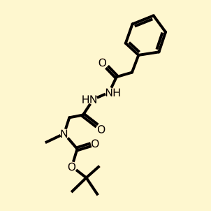 CN(CC(=O)NNC(=O)Cc1ccccc1)C(=O)OC(C)(C)C